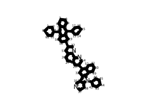 c1ccc(-c2c3ccccc3c(-c3ccccc3)c3cc(-c4cnc5c(ccc6cc(-c7cc8c9cnccc9n(-c9ccccc9)c8c8ccccc78)cnc65)c4)ccc23)cc1